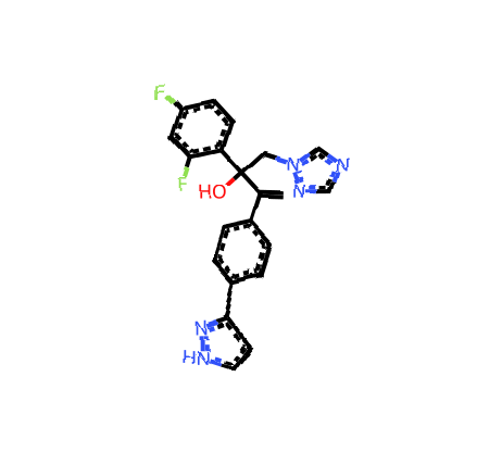 C=C(c1ccc(-c2cc[nH]n2)cc1)C(O)(Cn1cncn1)c1ccc(F)cc1F